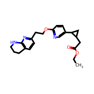 CCOC(=O)CC1CC1c1ccc(OCCc2ccc3c(n2)NCCC3)nc1